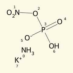 N.O=[N+]([O-])OP(=O)([O-])O.[K+]